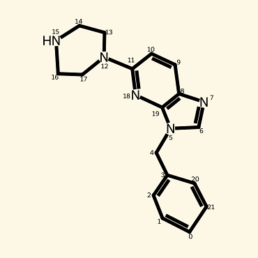 c1ccc(Cn2cnc3ccc(N4CCNCC4)nc32)cc1